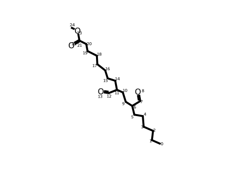 CCCCCCC(C=O)CCC(C=O)CCCCCCCC(=O)OC